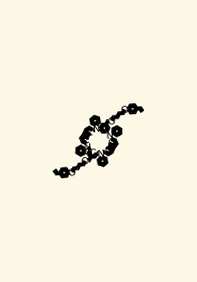 C=Cc1ccc(OCCCCOCc2cc3cc(c2)N(c2ccccc2)c2ccc4ccc(cc4c2)N(c2ccccc2)c2cc(COCCCCOc4ccc(C=C)cc4)cc(c2)N(c2ccccc2)c2ccc4ccc(cc4c2)N3c2ccccc2)cc1